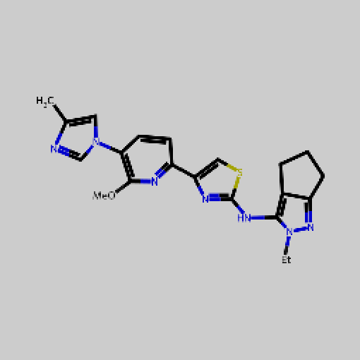 CCn1nc2c(c1Nc1nc(-c3ccc(-n4cnc(C)c4)c(OC)n3)cs1)CCC2